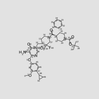 COc1cc(Oc2ncn(C[C@@]3(O)CCN(C(=O)[C@@H]4CCN(C(=O)OC(C)(C)C)C[C@H]4c4ccccc4)CC3(F)F)c(=O)c2N)ccc1C1CC1